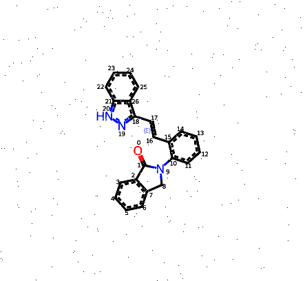 O=C1c2ccccc2CN1c1ccccc1/C=C/c1n[nH]c2ccccc12